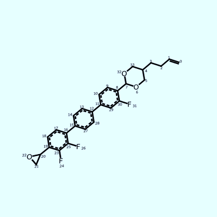 C=CCCC1COC(c2ccc(-c3ccc(-c4ccc(C5CO5)c(F)c4F)cc3)cc2F)OC1